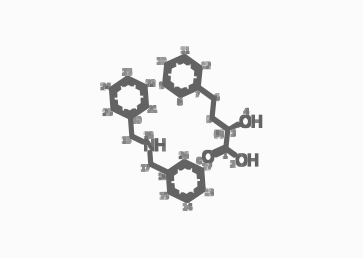 O=C(O)[C@H](O)CCc1ccccc1.c1ccc(CNCc2ccccc2)cc1